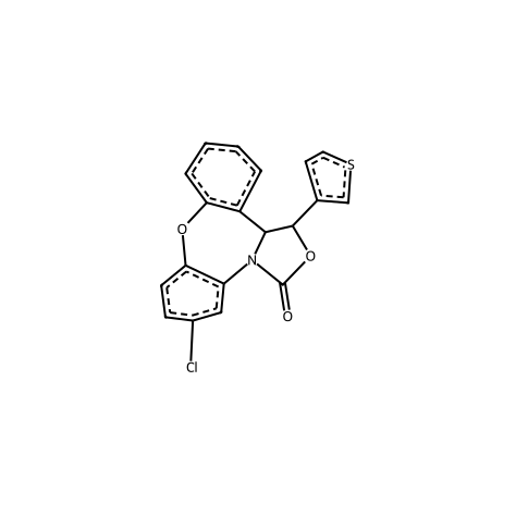 O=C1OC(c2ccsc2)C2c3ccccc3Oc3ccc(Cl)cc3N12